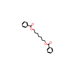 O=C(OCCCCCCCOC(=O)c1ccccc1)c1ccccc1